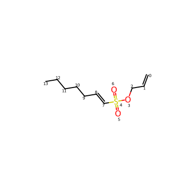 C=CCOS(=O)(=O)/C=C/CCCCC